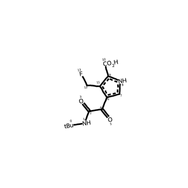 CC(C)(C)NC(=O)C(=O)c1c[nH]c(C(=O)O)c1CF